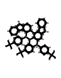 CC(C)(C)c1ccc(N2B3c4cc(C(C)(C)C)ccc4N(c4ccc(C(C)(C)C)cc4)c4cc5sc6ccccc6c5c(c43)-c3ccc4sc5ccccc5c4c32)cc1